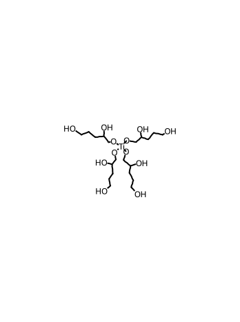 OCCCC(O)C[O][Ti]([O]CC(O)CCCO)([O]CC(O)CCCO)[O]CC(O)CCCO